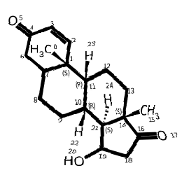 C[C@]12C=CC(=O)CC1CC[C@@H]1[C@H]2CC[C@]2(C)C(=O)CC(O)[C@@H]12